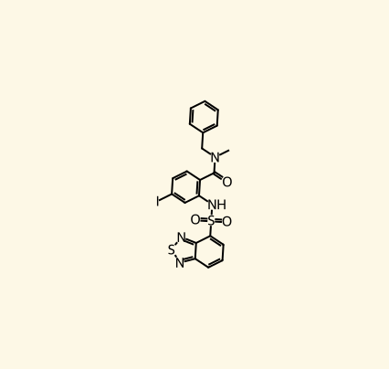 CN(Cc1ccccc1)C(=O)c1ccc(I)cc1NS(=O)(=O)c1cccc2nsnc12